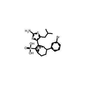 CC(C)Cc1sc(N)nc1-c1c2oc(c1P(=O)(O)O)CCC2c1cccc(Br)c1